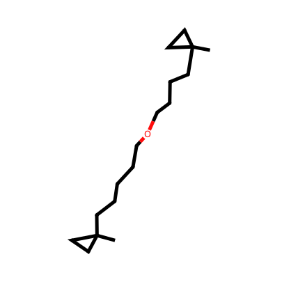 CC1(CCCCCOCCCCC2(C)CC2)CC1